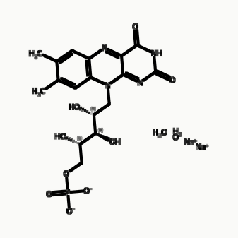 Cc1cc2nc3c(=O)[nH]c(=O)nc-3n(C[C@@H](O)[C@@H](O)[C@@H](O)COP(=O)([O-])[O-])c2cc1C.O.O.[Na+].[Na+]